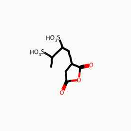 CC(C(CC1CC(=O)OC1=O)S(=O)(=O)O)S(=O)(=O)O